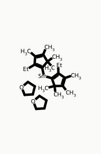 C1CCOC1.C1CCOC1.CCC1=[C]([Sm][C]2=C(CC)C(C)=C(C)C2(C)C)C(C)(C)C(C)=C1C